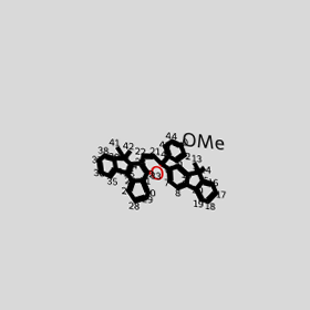 COc1ccc(C2(c3ccc4c(c3)C(C)(C)c3ccccc3-4)C=Cc3c4c(c5ccccc5c3O2)-c2ccccc2C4(C)C)cc1